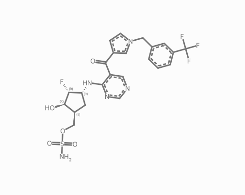 NS(=O)(=O)OC[C@@H]1C[C@@H](Nc2ncncc2C(=O)c2ccn(Cc3cccc(C(F)(F)F)c3)c2)[C@@H](F)[C@@H]1O